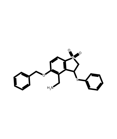 NCc1c(OCc2ccccc2)ccc2c1C(Sc1ccccc1)CS2(=O)=O